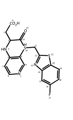 O=C(O)CC1Nc2ccncc2[SH](Cc2nc3cc(F)ccc3s2)C1=O